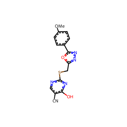 COc1ccc(-c2nnc(CSc3ncc(C#N)c(O)n3)o2)cc1